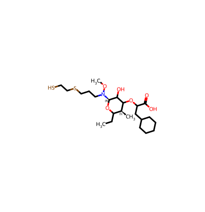 CCC1O[C@@H](N(CCCSCCS)OC)C(O)C(OC(CC2CCCCC2)C(=O)O)[C@H]1C